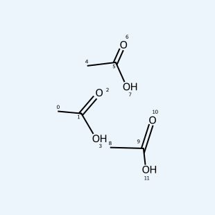 CC(=O)O.CC(=O)O.CC(=O)O